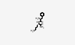 NCCCC[C@H](NC(=O)[C@@H](N)Cc1ccccc1)C(N)=O